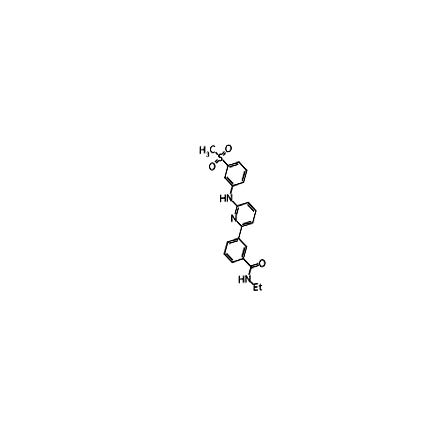 CCNC(=O)c1cccc(-c2cccc(Nc3cccc(S(C)(=O)=O)c3)n2)c1